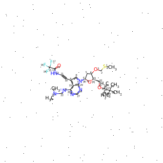 CSCOC1C[C@H](n2cc(C#CNC(=O)C(F)(F)F)c3c(/N=C/N(C)C)ncnc32)O[C@@H]1CO[Si](C)(C)C(C)(C)C